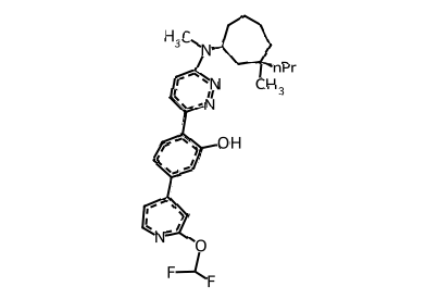 CCC[C@]1(C)CCCC[C@H](N(C)c2ccc(-c3ccc(-c4ccnc(OC(F)F)c4)cc3O)nn2)C1